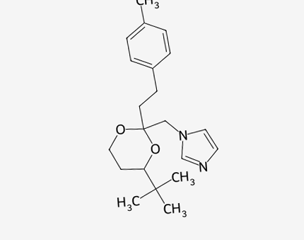 Cc1ccc(CCC2(Cn3ccnc3)OCCC(C(C)(C)C)O2)cc1